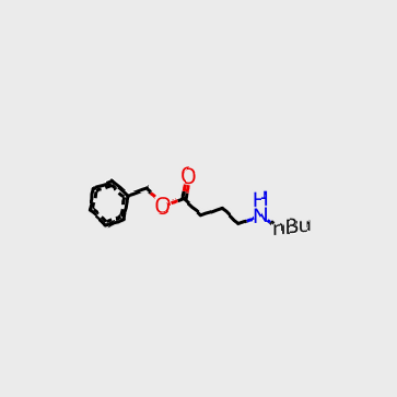 CCCCNCCCC(=O)OCc1ccccc1